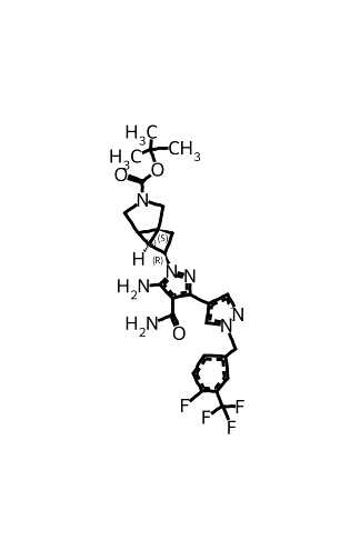 CC(C)(C)OC(=O)N1CC2[C@@H]3[C@H](n4nc(-c5cnn(Cc6ccc(F)c(C(F)(F)F)c6)c5)c(C(N)=O)c4N)C[C@]23C1